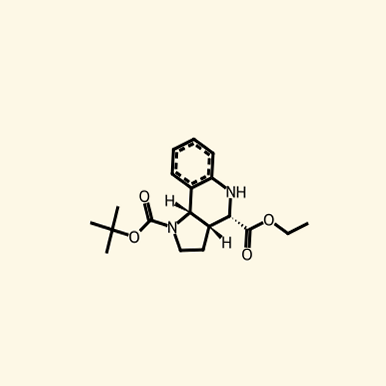 CCOC(=O)[C@H]1Nc2ccccc2[C@@H]2[C@H]1CCN2C(=O)OC(C)(C)C